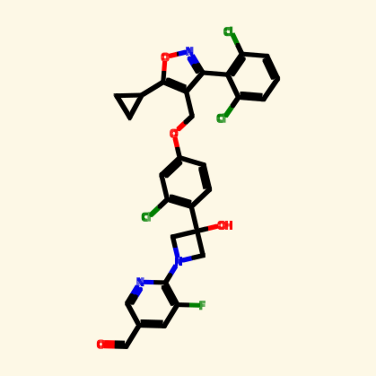 O=Cc1cnc(N2CC(O)(c3ccc(OCc4c(-c5c(Cl)cccc5Cl)noc4C4CC4)cc3Cl)C2)c(F)c1